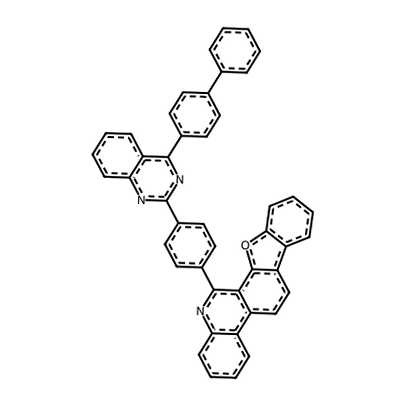 c1ccc(-c2ccc(-c3nc(-c4ccc(-c5nc6ccccc6c6ccc7c8ccccc8oc7c56)cc4)nc4ccccc34)cc2)cc1